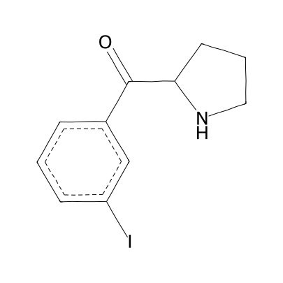 O=C(c1cccc(I)c1)C1CCCN1